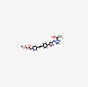 COC(=O)Cc1ccc(C#Cc2ccc(-c3cc(Cn4ccnc4[C@H](C)O)no3)cc2)cn1